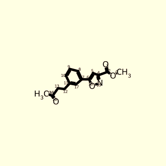 COC(=O)c1cc(-c2cccc(CCC(C)=O)c2)on1